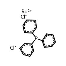 [Cl-].[Cl-].[Ru+2].c1ccc(P(c2ccccc2)c2ccccc2)cc1